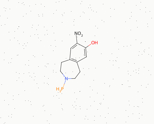 O=[N+]([O-])c1cc2c(cc1O)CCN(P)CC2